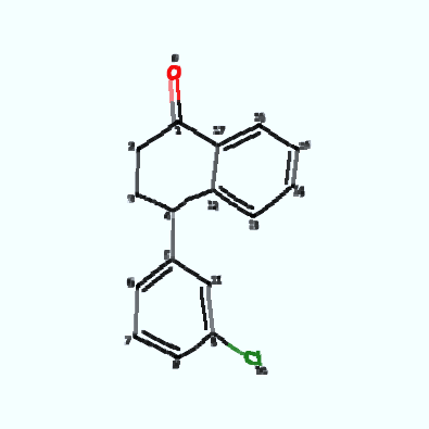 O=C1CCC(c2cccc(Cl)c2)c2ccccc21